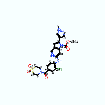 Cn1cc(-c2cc3cnc(Nc4ccc(C(=O)N5CCS(=O)(=O)CC5)cc4Cl)cc3n2C(=O)OC(C)(C)C)cn1